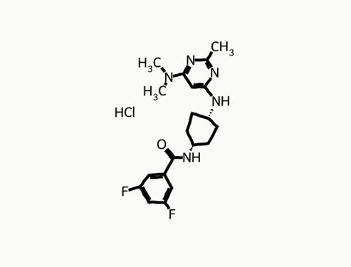 Cc1nc(N[C@H]2CC[C@@H](NC(=O)c3cc(F)cc(F)c3)CC2)cc(N(C)C)n1.Cl